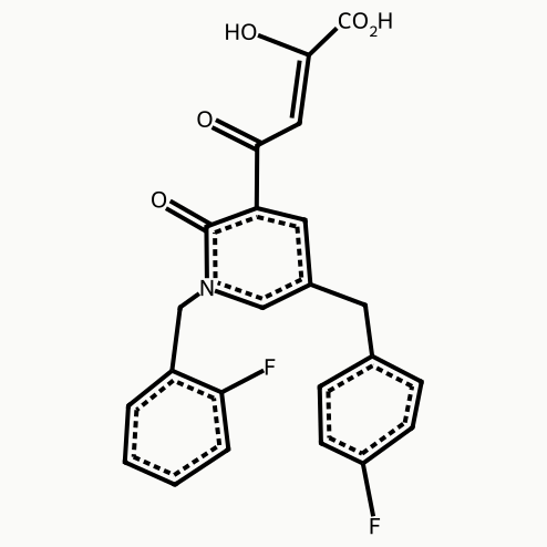 O=C(O)C(O)=CC(=O)c1cc(Cc2ccc(F)cc2)cn(Cc2ccccc2F)c1=O